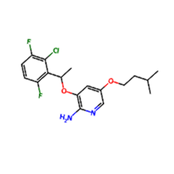 CC(C)CCOc1cnc(N)c(OC(C)c2c(F)ccc(F)c2Cl)c1